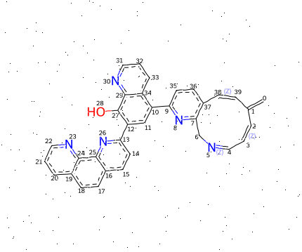 C=C1/C=C\C=N/Cc2nc(-c3cc(-c4ccc5ccc6cccnc6c5n4)c(O)c4ncccc34)ccc2/C=C\1